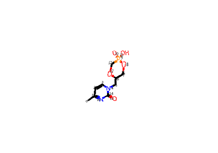 Cc1ccn(CC2COP(=O)(O)CO2)c(=O)n1